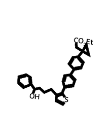 CCOC(=O)CC1(c2ccc(-c3ccc(-c4sccc4CCCC(O)c4ccccc4)cc3)cc2)CC1